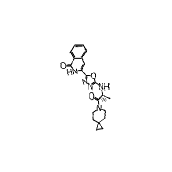 C[C@H](Nc1nnc(-c2cc3ccccc3c(=O)[nH]2)o1)C(=O)N1CCC2(CC1)CC2